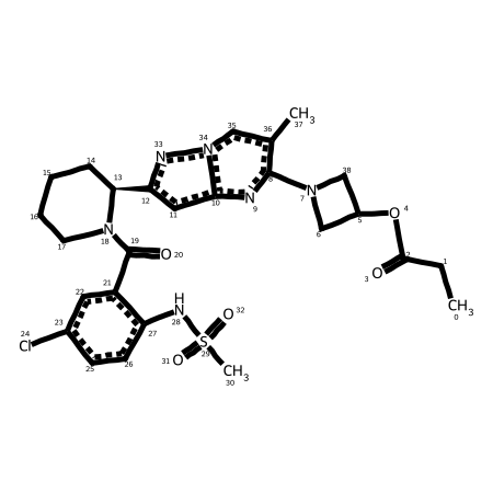 CCC(=O)OC1CN(c2nc3cc([C@@H]4CCCCN4C(=O)c4cc(Cl)ccc4NS(C)(=O)=O)nn3cc2C)C1